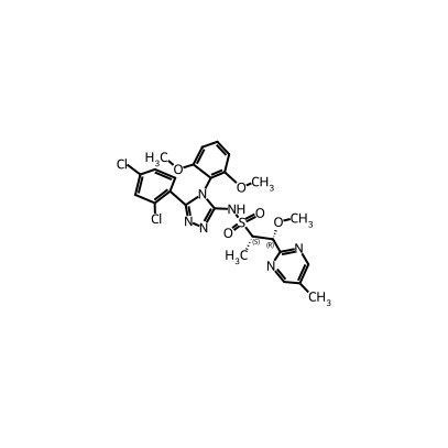 COc1cccc(OC)c1-n1c(NS(=O)(=O)[C@@H](C)[C@H](OC)c2ncc(C)cn2)nnc1-c1ccc(Cl)cc1Cl